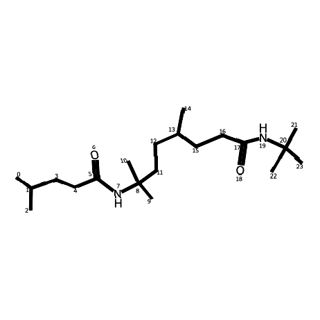 CC(C)CCC(=O)NC(C)(C)CCC(C)CCC(=O)NC(C)(C)C